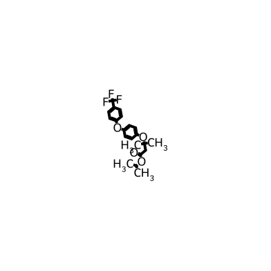 CC(C)OC(=O)CC(C)(C)Oc1ccc(Oc2ccc(C(F)(F)F)cc2)cc1